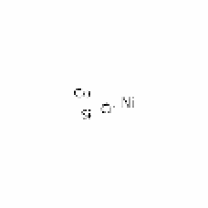 [Co].[Cr].[Ni].[Si]